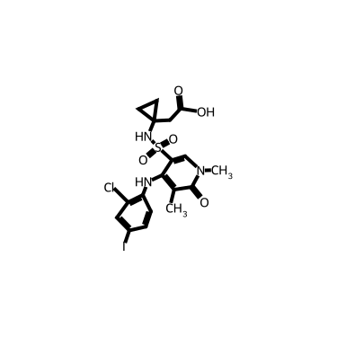 Cc1c(Nc2ccc(I)cc2Cl)c(S(=O)(=O)NC2(CC(=O)O)CC2)cn(C)c1=O